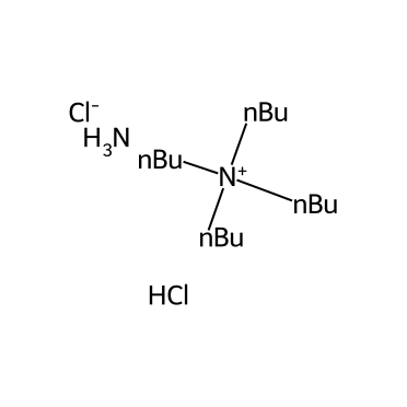 CCCC[N+](CCCC)(CCCC)CCCC.Cl.N.[Cl-]